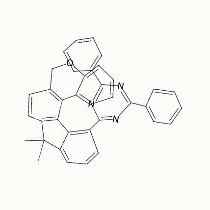 CC1(C)c2cccc(-c3nc(-c4ccccc4)nc(-c4ccccc4)n3)c2-c2c1ccc1c2-c2ccccc2OC1